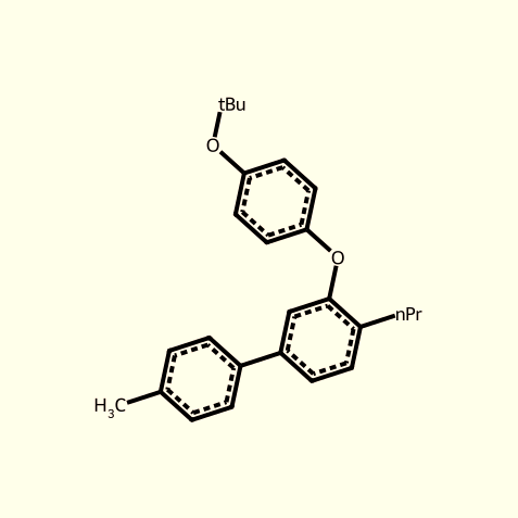 CCCc1ccc(-c2ccc(C)cc2)cc1Oc1ccc(OC(C)(C)C)cc1